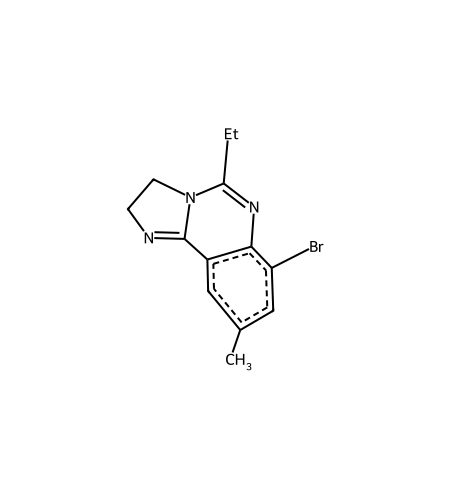 CCC1=Nc2c(Br)cc(C)cc2C2=NCCN12